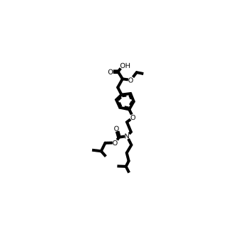 CCOC(Cc1ccc(OCCN(CCCC(C)C)C(=O)OCC(C)C)cc1)C(=O)O